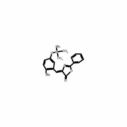 CC(C)(C)c1ccc(O[Si](C)(C)C(C)(C)C)cc1/C=C1\N=C(c2ccccc2)OC1=O